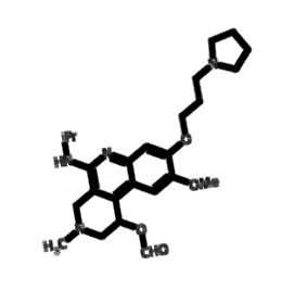 COc1cc2c3c(c(NC(C)C)nc2cc1OCCCN1CCCC1)CN(C)CC3OC=O